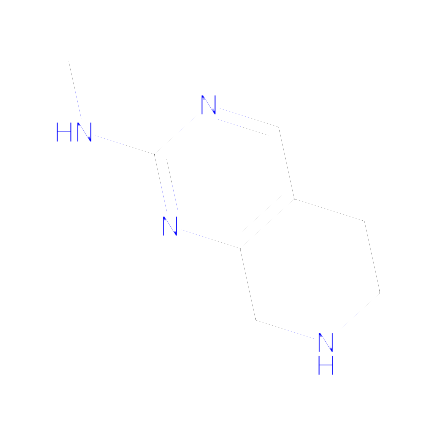 CNc1ncc2c(n1)CNCC2